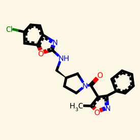 Cc1onc(-c2ccccc2)c1C(=O)N1CC[C@@H](CNc2nc3ccc(Cl)cc3o2)C1